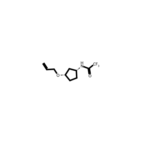 C=CCO[C@H]1CC[C@@H](NC(=O)C(F)(F)F)C1